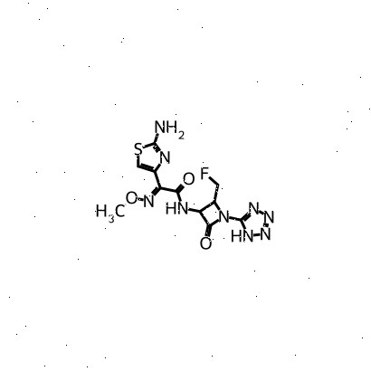 CON=C(C(=O)NC1C(=O)N(c2nnn[nH]2)C1CF)c1csc(N)n1